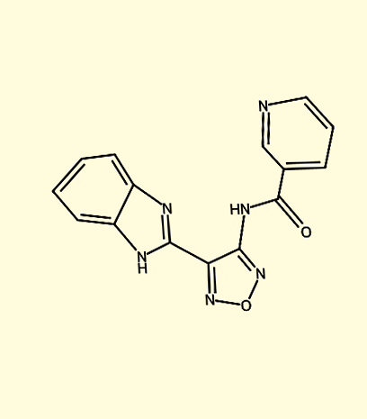 O=C(Nc1nonc1-c1nc2ccccc2[nH]1)c1cccnc1